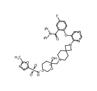 Cc1ncc(S(=O)(=O)N[C@@H]2CC[C@](O)(CN3CCC4(CC3)CN(c3ncncc3Oc3ccc(F)cc3C(=O)N(C(C)C)C(C)C)C4)OC2)o1